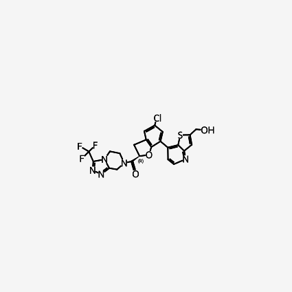 O=C([C@H]1Cc2cc(Cl)cc(-c3ccnc4cc(CO)sc34)c2O1)N1CCn2c(nnc2C(F)(F)F)C1